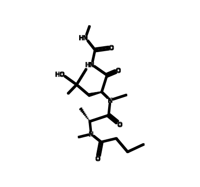 CCCC(=O)N(C)[C@H](C)C(=O)N(C)[C@@H](CC(C)(C)O)C(=O)NC(=O)NC